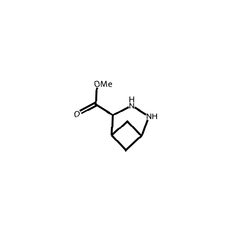 COC(=O)C1NNC2CC1C2